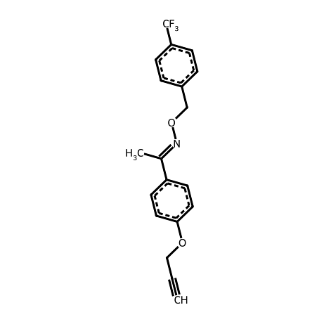 C#CCOc1ccc(/C(C)=N/OCc2ccc(C(F)(F)F)cc2)cc1